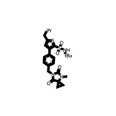 CC(C)Cc1cc(-c2ccc(CN3C(=O)N(C)C4(CC4)C3=O)cc2)c(S(=O)(=O)NC(C)(C)C)s1